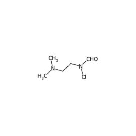 CN(C)CCN(Cl)C=O